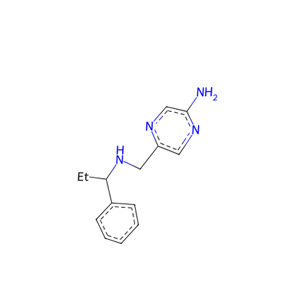 CCC(NCc1cnc(N)cn1)c1ccccc1